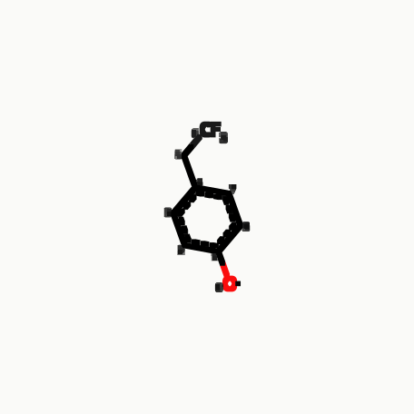 [O]c1ccc(CC(F)(F)F)cc1